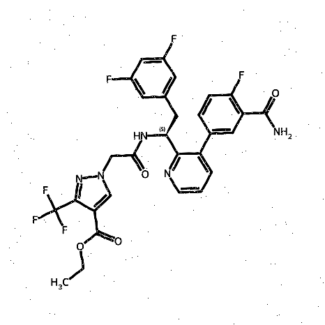 CCOC(=O)c1cn(CC(=O)N[C@@H](Cc2cc(F)cc(F)c2)c2ncccc2-c2ccc(F)c(C(N)=O)c2)nc1C(F)(F)F